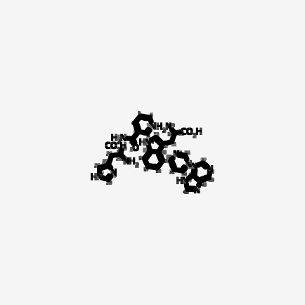 NC(=O)c1cccnc1.NC(Cc1c[nH]c2ccccc12)C(=O)O.NC(Cc1c[nH]cn1)C(=O)O.c1cncnc1.c1ncc2nc[nH]c2n1